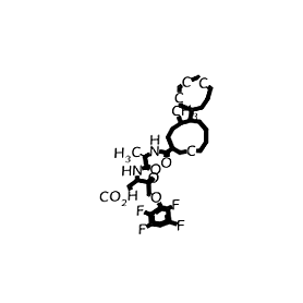 CC1CCC(C(=O)N[C@@H](C)C(=O)NC(CC(=O)O)C(=O)COc2c(F)c(F)cc(F)c2F)CCCCCCC1C1CCCCCCCCC1